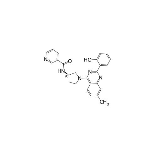 Cc1ccc2c(N3CC[C@@H](NC(=O)c4cccnc4)C3)nc(-c3ccccc3O)nc2c1